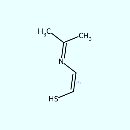 CC(C)=N/C=C\S